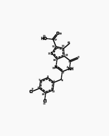 C=C1NC(Cc2ccc(Cl)c(Cl)c2)=Nc2sc(C(=O)O)c(C)c21